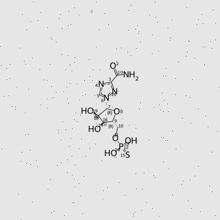 NC(=O)c1ncn([C@@H]2O[C@H](COP(O)(O)=S)[C@@H](O)[C@H]2O)n1